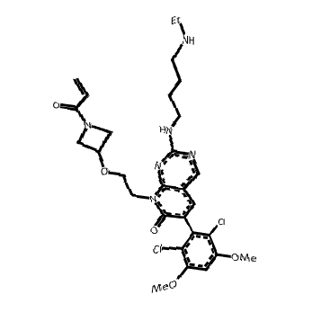 C=CC(=O)N1CC(OCCn2c(=O)c(-c3c(Cl)c(OC)cc(OC)c3Cl)cc3cnc(NCCCCNCC)nc32)C1